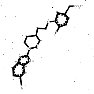 CCOC(=O)Cc1ccc(F)c(OCCC2CCN(c3nc4ccc(Cl)cc4s3)CC2)c1